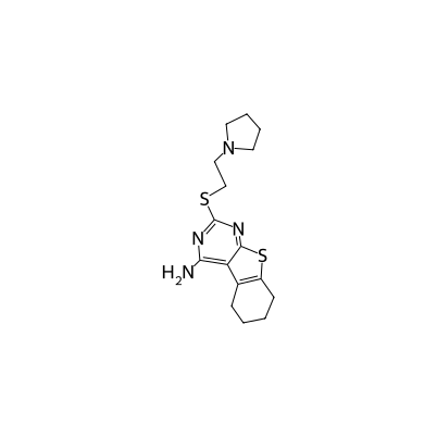 Nc1nc(SCCN2CCCC2)nc2sc3c(c12)CCCC3